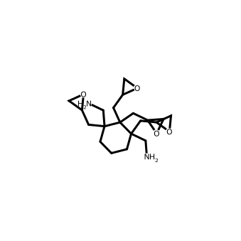 NCC1(CC2CO2)CCCC(CN)(CC2CO2)C1(CC1CO1)CC1CO1